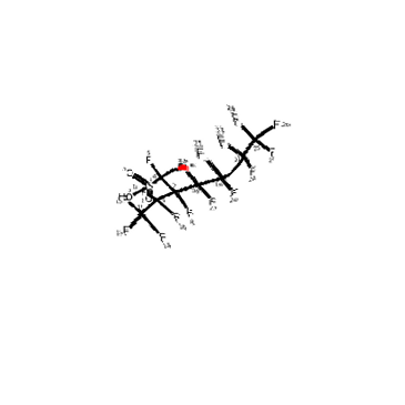 O=S(=O)(O)C(F)(F)C(F)(C(F)(F)C(F)(F)F)C(F)(F)C(F)(F)C(F)(F)C(F)(F)F